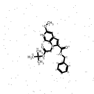 COc1cc2cc(C(=O)OCc3ccccc3)n(CC(=O)OC(C)(C)C)c2cn1